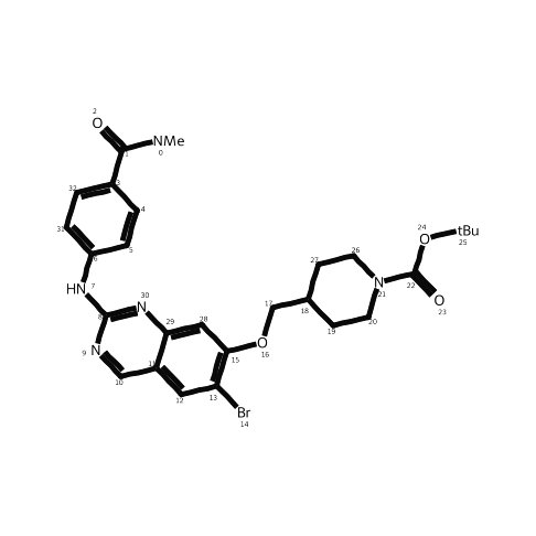 CNC(=O)c1ccc(Nc2ncc3cc(Br)c(OCC4CCN(C(=O)OC(C)(C)C)CC4)cc3n2)cc1